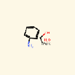 CCCCCCO.Nc1ccccc1.O